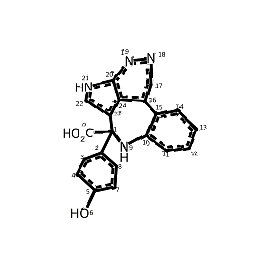 O=C(O)C1(c2ccc(O)cc2)Nc2ccccc2-c2cnnc3[nH]cc1c23